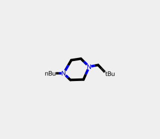 CCCCN1CCN(CC(C)(C)C)CC1